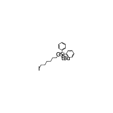 CC(C)(C)[Si](OCCCCCCI)(c1ccccc1)c1ccccc1